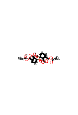 CCCCC(=O)OC1OC(=O)c2c1cccc2S(=O)(=O)c1cccc2c1C(=O)OC2OC(=O)CCCC